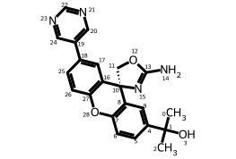 CC(C)(O)c1ccc2c(c1)[C@@]1(COC(N)=N1)c1cc(-c3cncnc3)ccc1O2